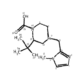 Cn1ccnc1CN1CCN(C(=O)O)C(C(C)(C)C)C1